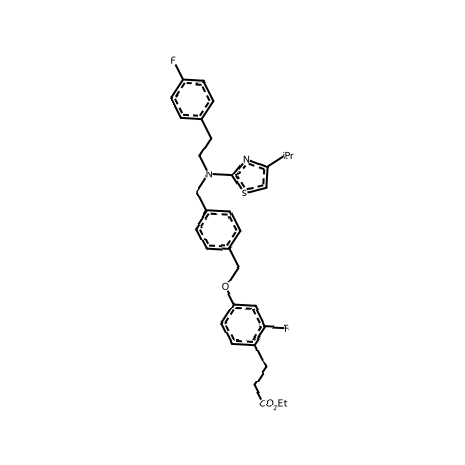 CCOC(=O)CCc1ccc(OCc2ccc(CN(CCc3ccc(F)cc3)c3nc(C(C)C)cs3)cc2)cc1F